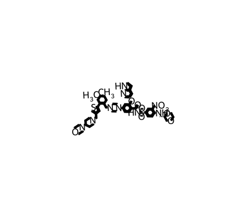 CC1(C)CCC(CN2CCN(c3ccc(C(=O)NS(=O)(=O)c4ccc(NC[C@H]5COCCO5)c([N+](=O)[O-])c4)c(Oc4cnc5[nH]ccc5c4)c3)CC2)=C(c2cc(CN3CCC(N4CCOCC4)CC3)cs2)C1